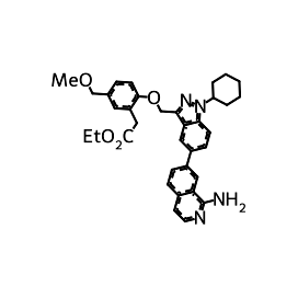 CCOC(=O)Cc1cc(COC)ccc1OCc1nn(C2CCCCC2)c2ccc(-c3ccc4ccnc(N)c4c3)cc12